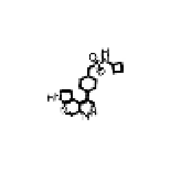 O=S(=O)(CC1CCC(c2cnnc3cnc4[nH]ccc4c23)CC1)NC1CCC1